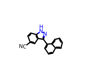 N#Cc1ccc2[nH]nc(-c3cccc4ccccc34)c2c1